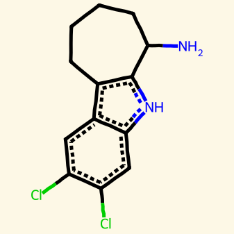 NC1CCCCc2c1[nH]c1cc(Cl)c(Cl)cc21